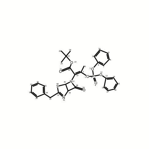 CC(OP(=O)(Oc1ccccc1)Oc1ccccc1)=C(C(=O)OC(C)(C)C)N1C(=O)C2N=C(Cc3ccccc3)SC21